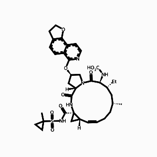 CC[C@@H]1C[C@H](C)CC/C=C\[C@@H]2C[C@@]2(C(=O)NS(=O)(=O)C2(C)CC2)NC(=O)[C@@H]2C[C@@H](Oc3nccc4c5c(ccc34)CCO5)CN2C(=O)[C@H]1NC(=O)O